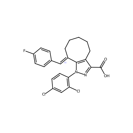 O=C(O)c1nn(-c2ccc(Cl)cc2Cl)c2c1CCCCC/C2=C\c1ccc(F)cc1